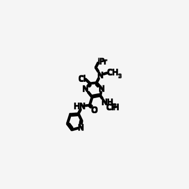 CC(C)CN(C)c1nc(N)c(C(=O)Nc2cccnc2)nc1Cl.Cl